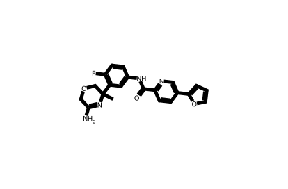 CC1(c2cc(NC(=O)c3ccc(-c4ccco4)cn3)ccc2F)COCC(N)=N1